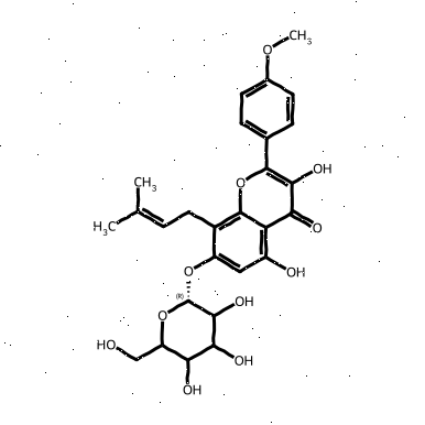 COc1ccc(-c2oc3c(CC=C(C)C)c(O[C@H]4OC(CO)C(O)C(O)C4O)cc(O)c3c(=O)c2O)cc1